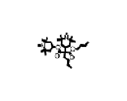 CCCCOC(=O)C(CCCC)(C(=O)OC1CC(C)(C)N(C)C(C)(C)C1)C1CC(C)(C)N(C)C(C)(C)C1